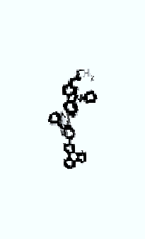 C=CCc1ccc2c3cc(-n4c5ccccc5c5cc(-c6ccc7c8ccccc8c8ccccc8c7c6)ccc54)ccc3n(-c3ccccc3)c2c1